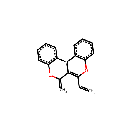 C=CC1=C2B(c3ccccc3OC2=C)c2ccccc2O1